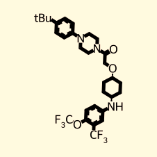 CC(C)(C)c1ccc(N2CCN(C(=O)CO[C@H]3CC[C@@H](Nc4ccc(OC(F)(F)F)c(C(F)(F)F)c4)CC3)CC2)cc1